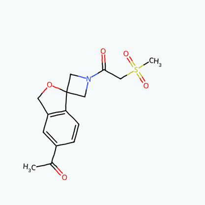 CC(=O)c1ccc2c(c1)COC21CN(C(=O)CS(C)(=O)=O)C1